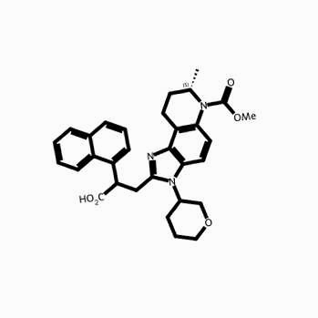 COC(=O)N1c2ccc3c(nc(CC(C(=O)O)c4cccc5ccccc45)n3C3CCCOC3)c2CC[C@@H]1C